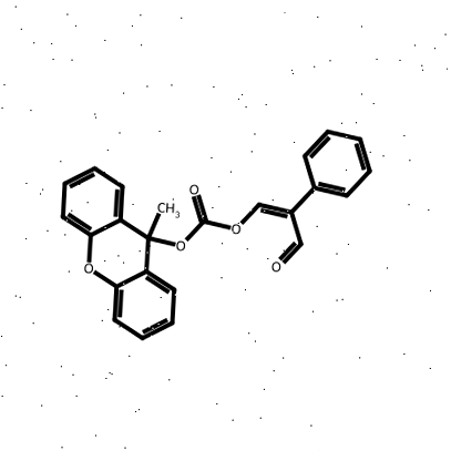 CC1(OC(=O)OC=C(C=O)c2ccccc2)c2ccccc2Oc2ccccc21